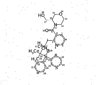 CC(Cc1ncccc1C(=O)N1CCOC[C@H]1CO)O[Si](c1ccccc1)(c1ccccc1)C(C)(C)C